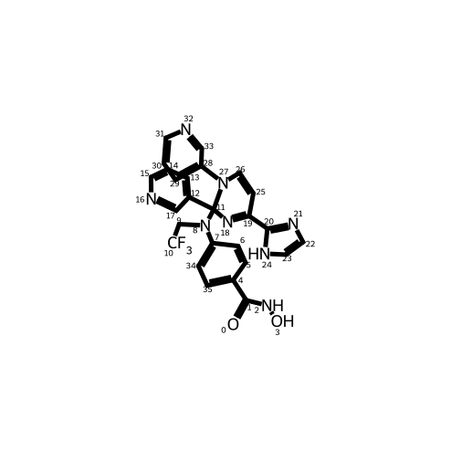 O=C(NO)c1ccc(N(CC(F)(F)F)C2(c3cccnc3)N=C(c3ncc[nH]3)C=CN2c2cccnc2)cc1